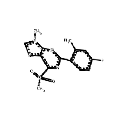 Cc1cc(F)ccc1-c1nc(S(C)(=O)=O)c2ncn(C)c2n1